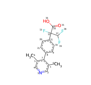 Cc1cncc(C)c1-c1ccc(C(F)(C(=O)O)C(F)F)cc1